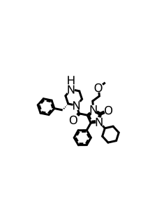 COCCn1c(C(=O)N2CCNC[C@H]2Cc2ccccc2)c(-c2ccccc2)n(C2CCCCC2)c1=O